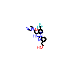 CCN(CC#N)C(=O)CC(Nc1nc2c(CCO)cccc2[nH]1)c1cccc(C(F)(F)F)c1